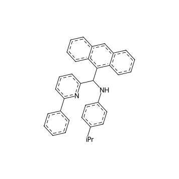 CC(C)c1ccc(NC(c2cccc(-c3ccccc3)n2)c2c3ccccc3cc3ccccc23)cc1